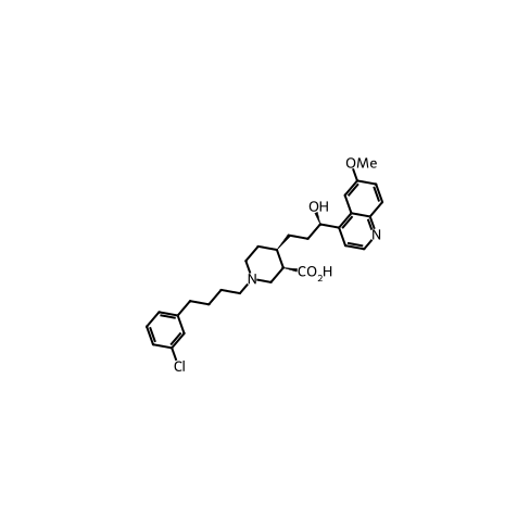 COc1ccc2nccc([C@H](O)CC[C@@H]3CCN(CCCCc4cccc(Cl)c4)C[C@@H]3C(=O)O)c2c1